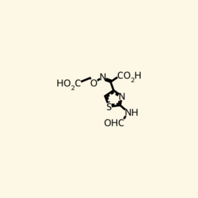 O=CNc1nc(/C(=N\OCC(=O)O)C(=O)O)cs1